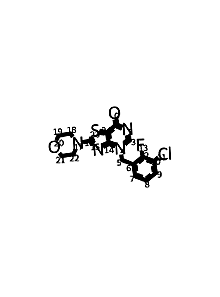 O=c1ncn(Cc2cccc(Cl)c2F)c2nc(N3CCOCC3)sc12